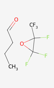 CCCC=O.FC(F)(F)C1(F)OC1(F)F